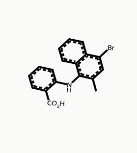 Cc1cc(Br)c2ccccc2c1Nc1ccccc1C(=O)O